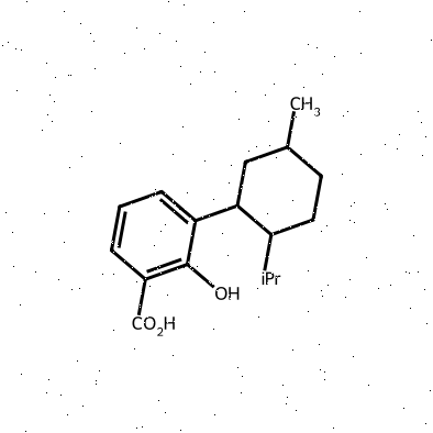 CC1CCC(C(C)C)C(c2cccc(C(=O)O)c2O)C1